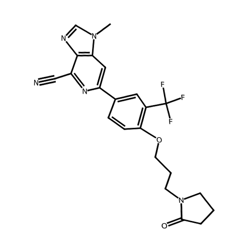 Cn1cnc2c(C#N)nc(-c3ccc(OCCCN4CCCC4=O)c(C(F)(F)F)c3)cc21